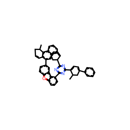 CC1CC(c2ccccc2)=CC=C1c1nc(-c2cccc3oc4ccc(-c5cc6ccccc6c6c5C=CCC6C)cc4c23)nc(C2C=CC=CC2)n1